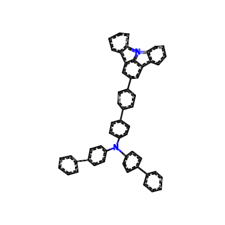 c1ccc(-c2ccc(N(c3ccc(-c4ccccc4)cc3)c3ccc(-c4ccc(-c5cc6c7ccccc7n7c8ccccc8c(c5)c67)cc4)cc3)cc2)cc1